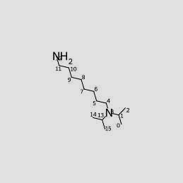 CC(C)N(CCCCCCCCN)C(C)C